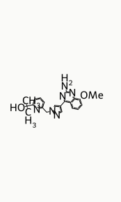 COc1cccc2c(-c3cnn(Cc4cccc(C(C)(C)O)n4)c3)nc(N)nc12